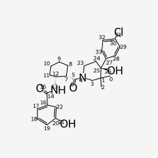 CC1(C)CN(C(=O)[C@H]2CCCC[C@H]2NC(=O)c2cccc(O)c2)CC[C@]1(O)c1ccc(Cl)cc1